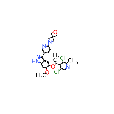 COc1cc2[nH]nc(-c3ccc(N4CC5(COC5)C4)nc3)c2cc1O[C@H](C)c1c(Cl)cnc(C)c1Cl